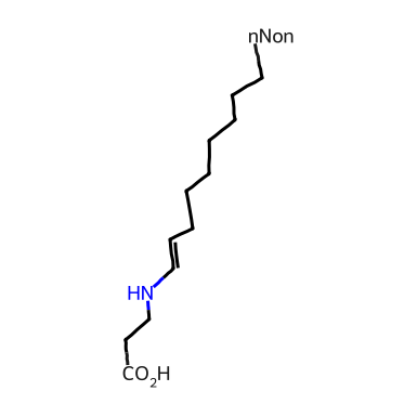 CCCCCCCCCCCCCCCCC=CNCCC(=O)O